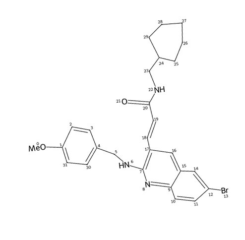 COc1ccc(CNc2nc3ccc(Br)cc3cc2C=CC(=O)NCC2CCCCC2)cc1